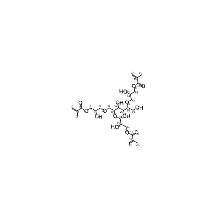 C=C(C)C(=O)OCC(O)COCC(OCC(O)COC(=O)C(=C)C)C(O)C(O)C(CO)OCC(O)COC(=O)C(=C)C